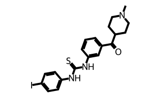 CN1CCC(C(=O)c2cccc(NC(=S)Nc3ccc(I)cc3)c2)CC1